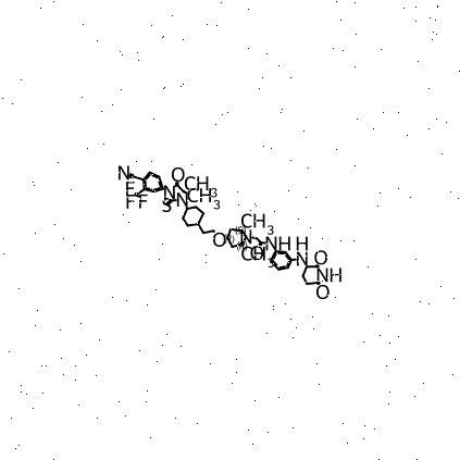 C[C@@H]1C[C@H](OCCC2CCC(N3C(=S)N(c4ccc(C#N)c(C(F)(F)F)c4)C(=O)C3(C)C)CC2)C[C@H](C)N1CC(=O)Nc1cccc(NC2CCC(=O)NC2=O)c1